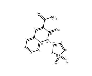 NC(=O)c1cc2ccccc2n([C@@H]2C=CS(=O)(=O)C2)c1=O